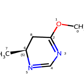 COC1=NC=N[C@@H](C)C1